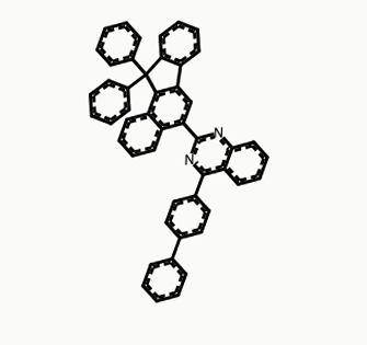 c1ccc(-c2ccc(-c3nc(-c4cc5c(c6ccccc46)C(c4ccccc4)(c4ccccc4)c4ccccc4-5)nc4ccccc34)cc2)cc1